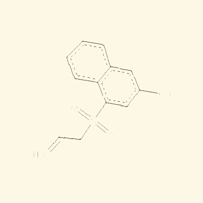 C=CCS(=O)(=O)c1cc(O)cc2ccccc12